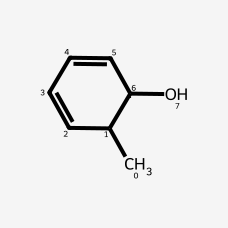 CC1C=CC=C[C]1O